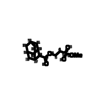 COS(=O)(=O)CCOC(=O)C1C2CC3CC(C2)CC1C3